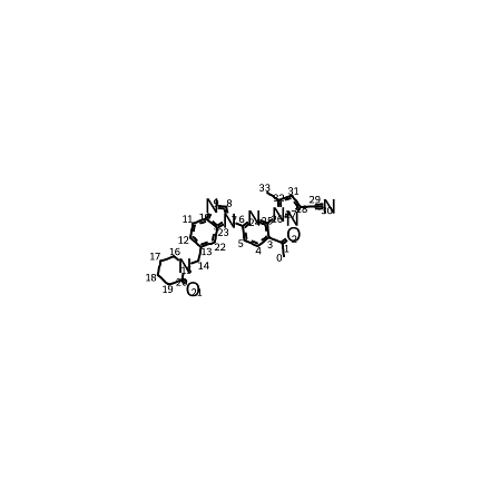 CC(=O)c1ccc(-n2cnc3ccc(CN4CCCCC4=O)cc32)nc1-n1nc(C#N)cc1C